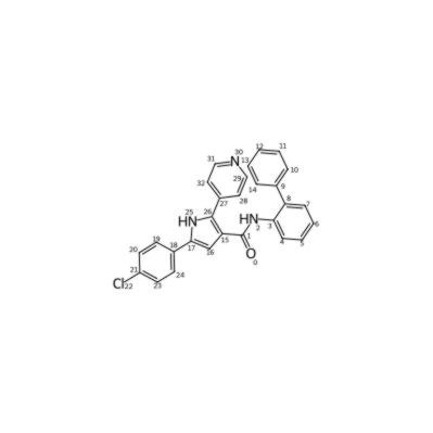 O=C(Nc1ccccc1-c1ccccc1)c1cc(-c2ccc(Cl)cc2)[nH]c1-c1ccncc1